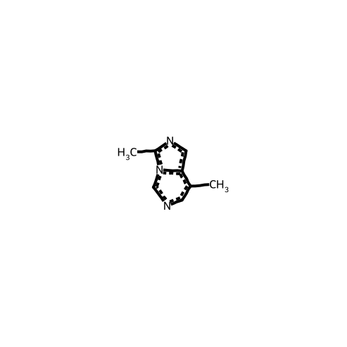 Cc1cncn2c(C)ncc12